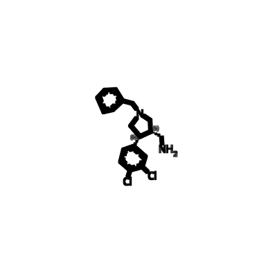 NC[C@H]1CN(Cc2ccccc2)C[C@H]1c1ccc(Cl)c(Cl)c1